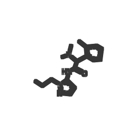 CCCn1nccc1NC(=O)C(c1ccccc1C)N(C)C